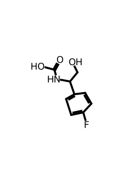 O=C(O)NC(CO)c1ccc(F)cc1